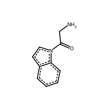 NCC(=O)n1ccc2ccccc21